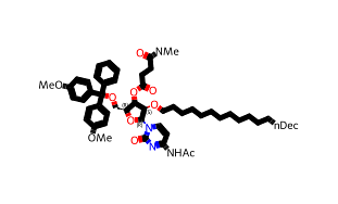 CCCCCCCCCCCCCCCCCCCCCCO[C@H]1C(OC(=O)CCC(=O)NC)[C@@H](COC(c2ccccc2)(c2ccc(OC)cc2)c2ccc(OC)cc2)O[C@H]1n1ccc(NC(C)=O)nc1=O